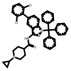 O=C(Nc1nn(C(c2ccccc2)(c2ccccc2)c2ccccc2)c2ccc(-c3c(Cl)cccc3Cl)cc12)C1CCN(C2CC2)CC1